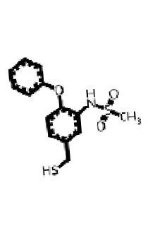 CS(=O)(=O)Nc1cc(CS)ccc1Oc1ccccc1